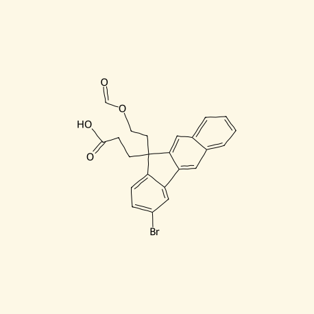 O=COCCC1(CCC(=O)O)c2ccc(Br)cc2-c2cc3ccccc3cc21